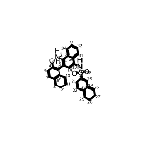 Nc1c(-c2c(O)ccc3c2C=CCC3)cc(NS(=O)(=O)c2ccc3c(c2)=CCCC=3)c2ccccc12